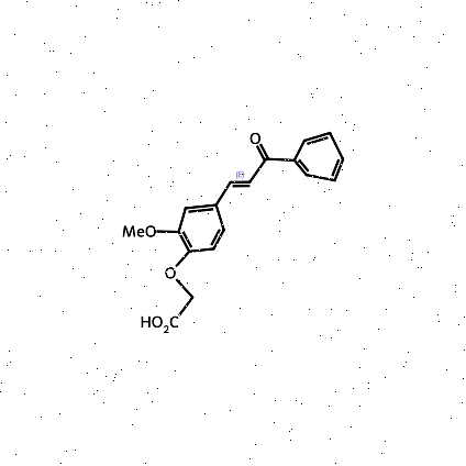 COc1cc(/C=C/C(=O)c2ccccc2)ccc1OCC(=O)O